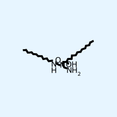 CCCCCCCCCCCCNC(=O)CN(CCN)CC(O)CCCCCCCCCCCC